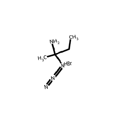 Br.CCC(C)(N)N=[N+]=[N-]